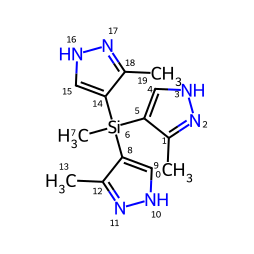 Cc1n[nH]cc1[Si](C)(c1c[nH]nc1C)c1c[nH]nc1C